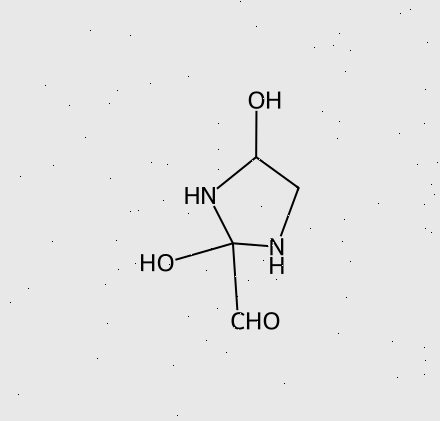 O=CC1(O)NCC(O)N1